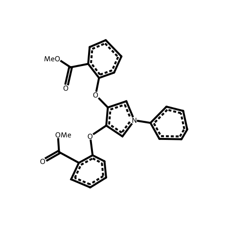 COC(=O)c1ccccc1Oc1cn(-c2ccccc2)cc1Oc1ccccc1C(=O)OC